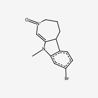 CN1C2=C[N+](=O)CCCC2c2ccc(Br)cc21